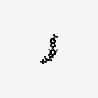 C[C@@H]1Cc2nc(NC(=O)OC(C)(C)C)sc2[C@H](C)N1c1nc2cc(N(C)C)ccc2o1